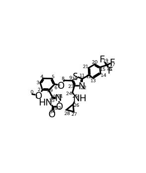 COc1cccc(OCc2sc(-c3ccc(C(F)(F)F)cc3)nc2CNC2CC2)c1-c1noc(=O)[nH]1